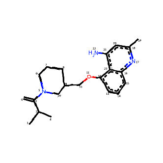 C=C(C(C)C)N1CCCC(COc2cccc3nc(C)cc(N)c23)C1